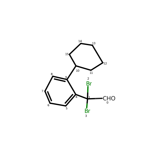 O=CC(Br)(Br)c1ccccc1C1CCCCC1